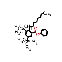 CCCCCCCCc1c(C(=O)Oc2ccccc2)cc(C(C)(C)C)cc1C(C)(C)C